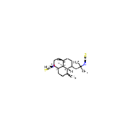 C=C1CC[C@@]2(N=C=S)[C@H]3[C@@H](CCC(CC(C)(C)N=C=S)[C@H]13)CC[C@@H]2C